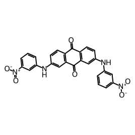 O=C1c2ccc(Nc3cccc([N+](=O)[O-])c3)cc2C(=O)c2cc(Nc3cccc([N+](=O)[O-])c3)ccc21